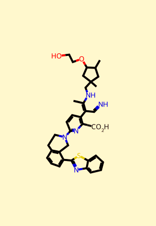 C/C(NCC1(C)CC(C)C(OCCO)C1)=C(/C=N)c1ccc(N2CCc3cccc(-c4nc5ccccc5s4)c3C2)nc1C(=O)O